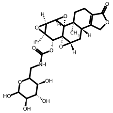 CC(C)[C@]12O[C@H]1[C@@H]1O[C@]13[C@]1(O[C@H]1C[C@H]1C4=C(CC[C@@]13C)C(=O)OC4)[C@@H]2OC(=O)NCC1OC(O)[C@H](O)[C@@H](O)[C@@H]1O